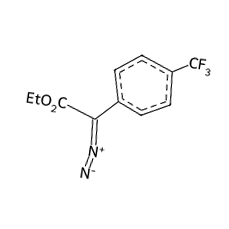 CCOC(=O)C(=[N+]=[N-])c1ccc(C(F)(F)F)cc1